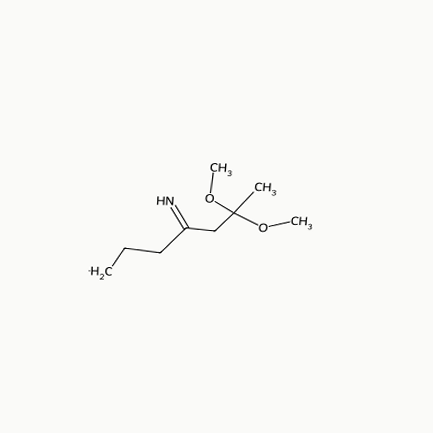 [CH2]CCC(=N)CC(C)(OC)OC